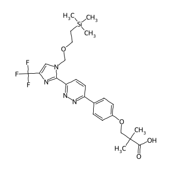 CC(C)(COc1ccc(-c2ccc(-c3nc(C(F)(F)F)cn3COCC[Si](C)(C)C)nn2)cc1)C(=O)O